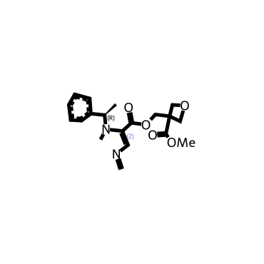 C=N/C=C(/C(=O)OCC1(C(=O)OC)COC1)N(C)[C@H](C)c1ccccc1